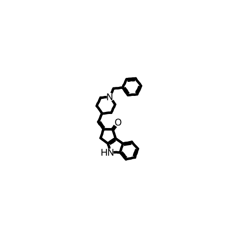 O=C1C(=CC2CCN(Cc3ccccc3)CC2)Cc2[nH]c3ccccc3c21